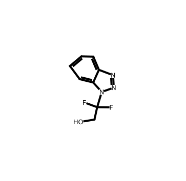 OCC(F)(F)n1nnc2ccccc21